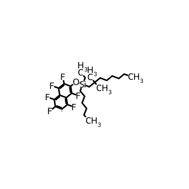 CCCCCCC(C)(C)C[Si](CC)(CCCCCC)Oc1c(F)c(F)c2c(F)c(F)[c]c(F)c2c1F